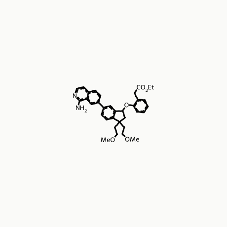 CCOC(=O)Cc1ccccc1OC1CC(CCOC)(CCOC)c2ccc(-c3ccc4ccnc(N)c4c3)cc21